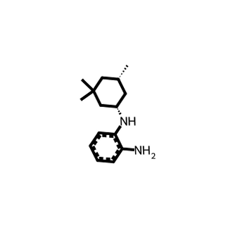 C[C@@H]1C[C@H](Nc2ccccc2N)CC(C)(C)C1